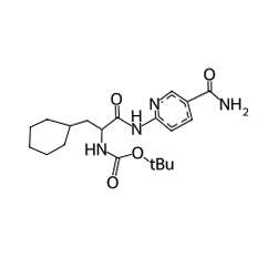 CC(C)(C)OC(=O)NC(CC1CCCCC1)C(=O)Nc1ccc(C(N)=O)cn1